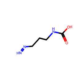 N=NCCCNC(=O)O